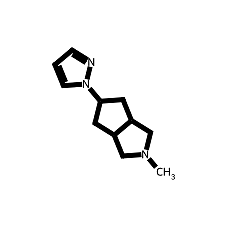 CN1CC2CC(n3cccn3)CC2C1